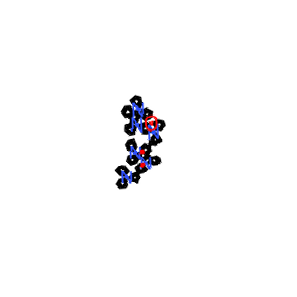 c1ccc(N(c2ccccc2)c2cccc(-c3ccc(-n4c5ccccc5c5c6cc(-c7cccc(N8c9ccccc9Oc9cc(-n%10c%11ccccc%11c%11c%12ccccc%12c%12c(c%13ccccc%13n%12-c%12ccccc%12)c%11%10)ccc98)c7)ccc6c6c(c7ccccc7n6-c6ccccc6)c54)cc3)c2)cc1